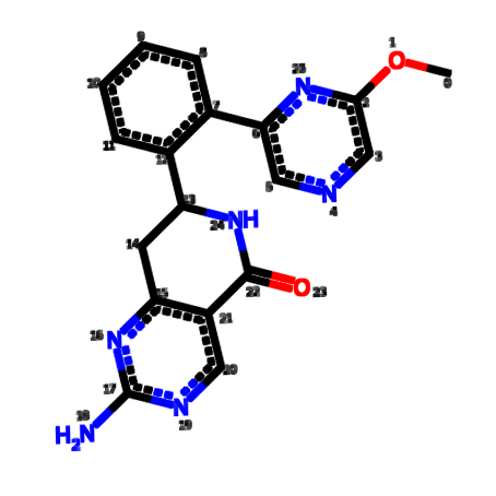 COc1cncc(-c2ccccc2C2Cc3nc(N)ncc3C(=O)N2)n1